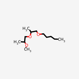 CCCCCOCC(C)OCC(C)OC